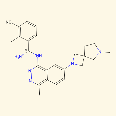 Cc1c(C#N)cccc1[C@@H](N)Nc1nnc(C)c2ccc(N3CC4(CCN(C)C4)C3)cc12